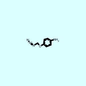 [N-]=[N+]=NCOc1ccc(N)cc1